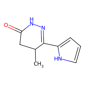 CC1CC(=O)NN=C1c1ccc[nH]1